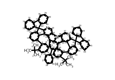 CC(C)(C)c1ccccc1-c1cccc2c1-c1c(ncc3c1c1cc(-c4ccccc4)cc4c5c6c(ncc5n3c14)C1(c3ccccc3-c3ccccc31)c1cccc(-c3ccccc3C(C)(C)C)c1-6)C21c2ccccc2-c2ccccc21